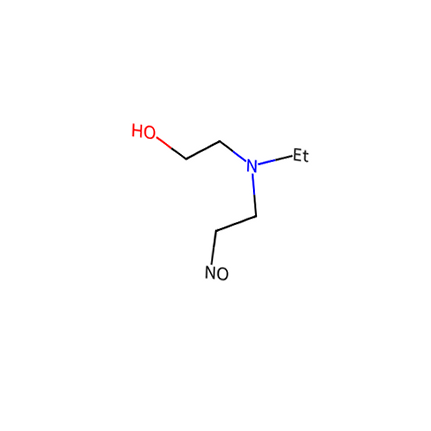 CCN(CCO)CCN=O